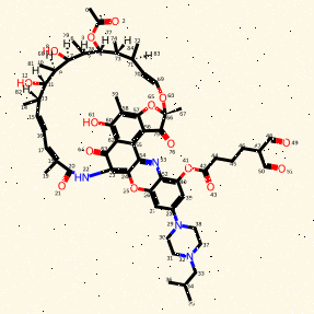 CC(=O)O[C@H]1[C@H](C)[C@H](O)[C@H](C)[C@@H](O)[C@@H](C)/C=C/C=C(/C)C(=O)Nc2c3oc4cc(N5CCN(CC(C)C)CC5)cc(OC(=O)CCCC(C=O)C=O)c4nc-3c3c4c(c(C)c(O)c3c2=O)O[C@](C)(O/C=C/[C@H](C)[C@H]1C)C4=O